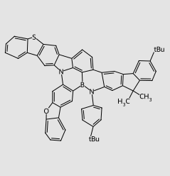 CC(C)(C)c1ccc(N2B3c4cc5c(cc4-n4c6cc7c(cc6c6ccc(c3c64)-c3cc4c(cc32)C(C)(C)c2ccc(C(C)(C)C)cc2-4)sc2ccccc27)oc2ccccc25)cc1